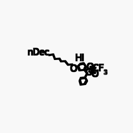 CCCCCCCCCCCCCCCCCCOc1ccc(OS(=O)(=O)C(F)(F)F)c(Cc2ccccc2)c1.I